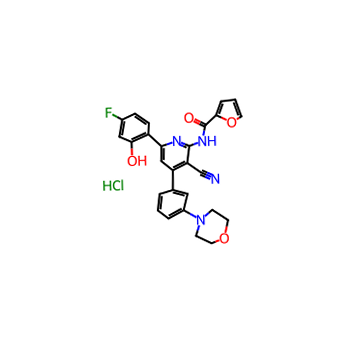 Cl.N#Cc1c(-c2cccc(N3CCOCC3)c2)cc(-c2ccc(F)cc2O)nc1NC(=O)c1ccco1